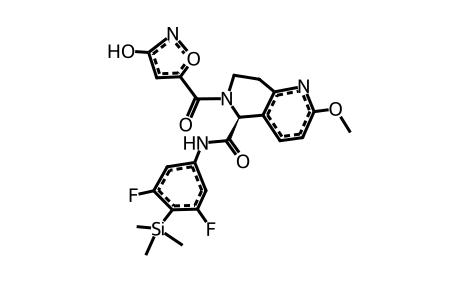 COc1ccc2c(n1)CCN(C(=O)c1cc(O)no1)[C@@H]2C(=O)Nc1cc(F)c([Si](C)(C)C)c(F)c1